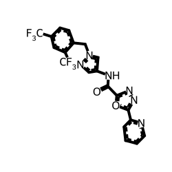 O=C(Nc1cnn(Cc2ccc(C(F)(F)F)cc2C(F)(F)F)c1)c1nnc(-c2ccccn2)o1